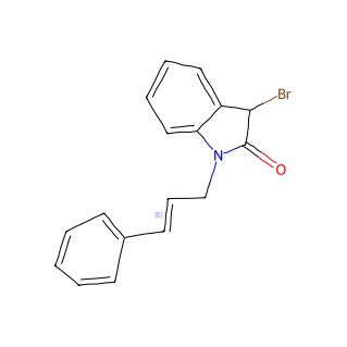 O=C1C(Br)c2ccccc2N1C/C=C/c1ccccc1